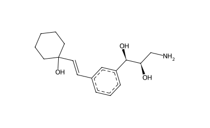 NC[C@@H](O)[C@H](O)c1cccc(C=CC2(O)CCCCC2)c1